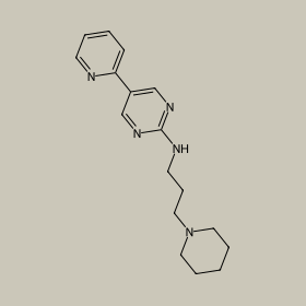 c1ccc(-c2cnc(NCCCN3CCCCC3)nc2)nc1